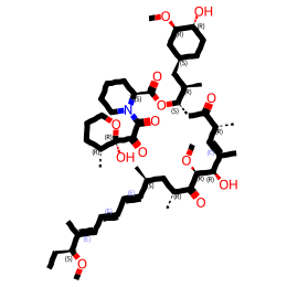 CC[C@H](OC)/C(C)=C/C=C/C=C/[C@@H](C)C[C@@H](C)C(=O)[C@H](OC)[C@H](O)/C(C)=C/[C@@H](C)C(=O)C[C@H](OC(=O)[C@@H]1CCCCN1C(=O)C(=O)[C@]1(O)OCCC[C@H]1C)[C@H](C)C[C@@H]1CC[C@@H](O)[C@H](OC)C1